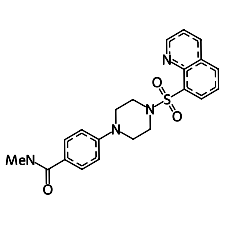 CNC(=O)c1ccc(N2CCN(S(=O)(=O)c3cccc4cccnc34)CC2)cc1